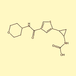 O=C(O)NC1CC1c1cc(C(=O)NC2CCOCC2)cs1